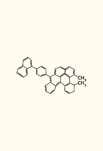 Cc1ccccc1C1=C(c2c3ccccc3c(-c3ccc(-c4cccc5ccccc45)cc3)c3ccccc23)C=CCC1C